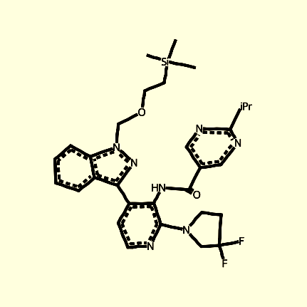 CC(C)c1ncc(C(=O)Nc2c(-c3nn(COCC[Si](C)(C)C)c4ccccc34)ccnc2N2CCC(F)(F)C2)cn1